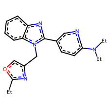 CCc1nc(Cn2c(-c3ccc(N(CC)CC)nc3)nc3ccccc32)co1